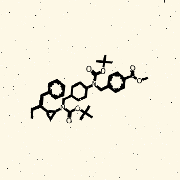 CCC(=Cc1ccccc1)C1CC1N(CC1CCC(N(Cc2ccc(C(=O)OC)cc2)C(=O)OC(C)(C)C)CC1)C(=O)OC(C)(C)C